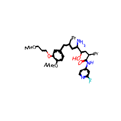 COCCCOc1cc(CC(CC(N)C(O)CC(C(=O)Nc2ccnc(F)c2)C(C)C)C(C)C)ccc1OC